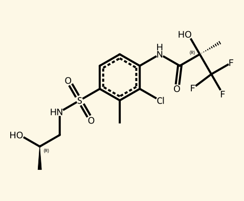 Cc1c(S(=O)(=O)NC[C@@H](C)O)ccc(NC(=O)[C@@](C)(O)C(F)(F)F)c1Cl